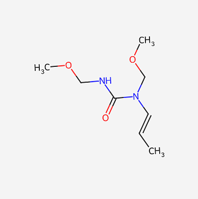 CC=CN(COC)C(=O)NCOC